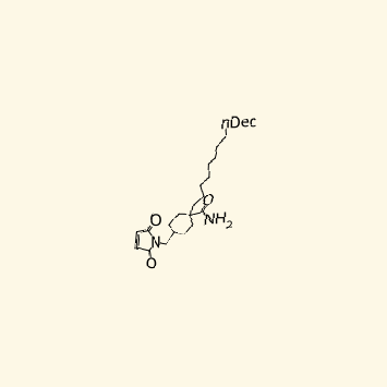 CCCCCCCCCCCCCCCCCCC1(C(N)=O)CCC(CN2C(=O)C=CC2=O)CC1